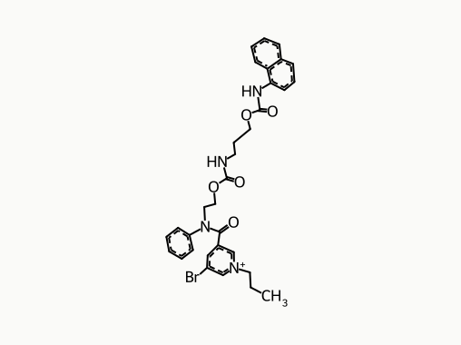 CCC[n+]1cc(Br)cc(C(=O)N(CCOC(=O)NCCCOC(=O)Nc2cccc3ccccc23)c2ccccc2)c1